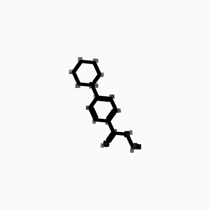 CC(C)(C)OC(=O)c1ccc(N2CCCCC2)cc1